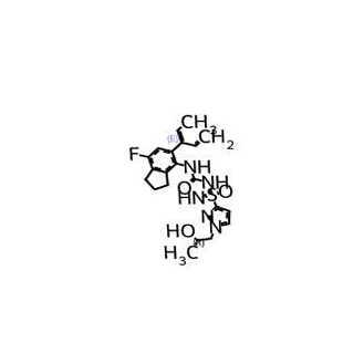 C=C/C(=C\C)c1cc(F)c2c(c1NC(=O)NS(=N)(=O)c1ccn(C[C@@H](C)O)n1)CCC2